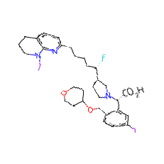 O=C(O)[C@H](c1cc(I)ccc1COC1CCOCC1)N1CCC([C@@H](F)CCCCc2ccc3c(n2)N(I)CCC3)C1